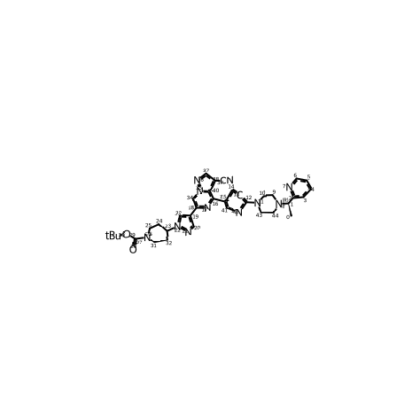 C[C@H](c1ccccn1)N1CCN(c2ccc(-c3nc(-c4cnn(C5CCN(C(=O)OC(C)(C)C)CC5)c4)cn4ncc(C#N)c34)cn2)CC1